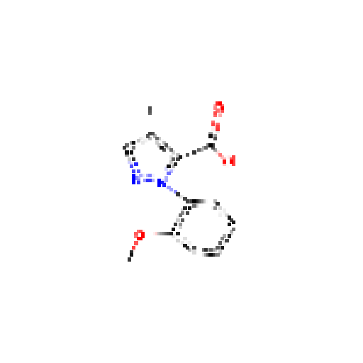 COc1ccccc1-n1ncc(C)c1C(=O)O